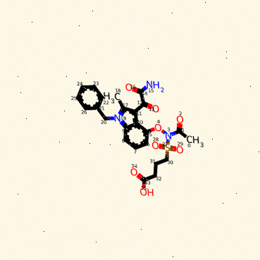 CC(=O)N(Oc1cccc2c1c(C(=O)C(N)=O)c(C)n2Cc1ccccc1)S(=O)(=O)CCCC(=O)O